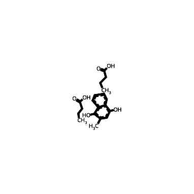 CCCC(=O)O.CCCC(=O)O.Cc1cc(O)c2ccccc2c1O